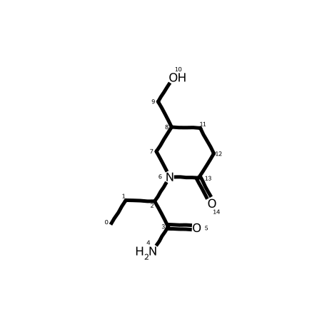 CCC(C(N)=O)N1CC(CO)CCC1=O